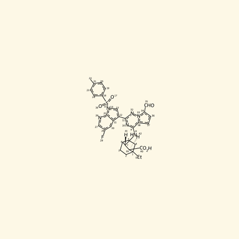 CCC12CCC(CC1)[C@H](Nc1nc(-c3cn(S(=O)(=O)c4ccc(C)cc4)c4ncc(F)cc34)nn3c(C=O)ccc13)[C@H]2C(=O)O